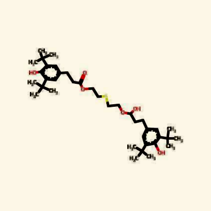 CC(C)(C)c1cc(CCC(=O)OCCSCCOC(O)CCc2cc(C(C)(C)C)c(O)c(C(C)(C)C)c2)cc(C(C)(C)C)c1O